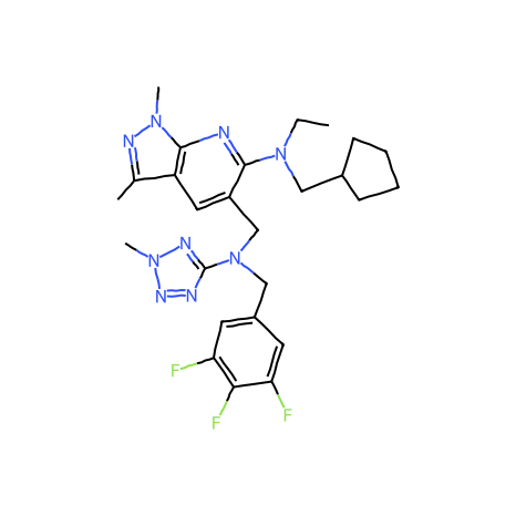 CCN(CC1CCCC1)c1nc2c(cc1CN(Cc1cc(F)c(F)c(F)c1)c1nnn(C)n1)c(C)nn2C